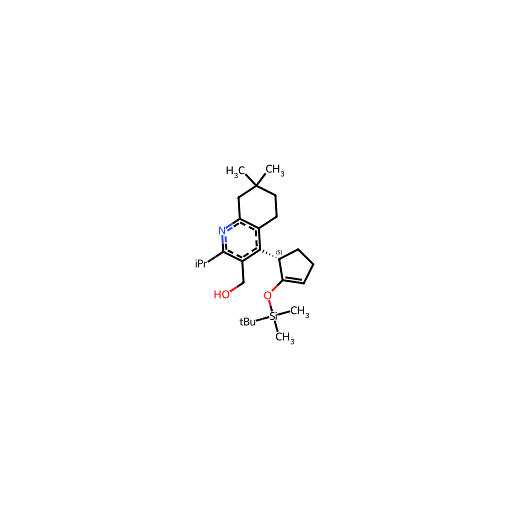 CC(C)c1nc2c(c([C@@H]3CCC=C3O[Si](C)(C)C(C)(C)C)c1CO)CCC(C)(C)C2